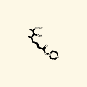 CNC(C)C(O)C(C)CC=CC(=O)ON1CCOCC1